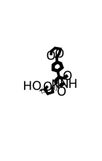 O=c1[nH]c(=O)n([C@H]2CC[C@@H](CO)O2)cc1-c1ccc(C2OCCCO2)cc1